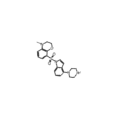 CN1CCOc2c1cccc2S(=O)(=O)n1ccc2c(N3CCNCC3)cccc21